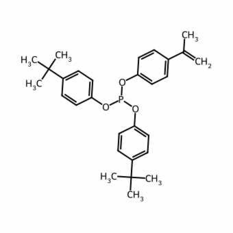 C=C(C)c1ccc(OP(Oc2ccc(C(C)(C)C)cc2)Oc2ccc(C(C)(C)C)cc2)cc1